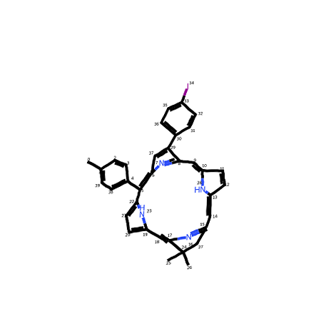 Cc1ccc(-c2c3nc(cc4ccc(cc5nc(cc6ccc2[nH]6)C(C)(C)C5)[nH]4)C(c2ccc(I)cc2)=C3)cc1